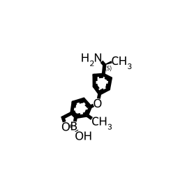 Cc1c(Oc2ccc([C@H](C)N)cc2)ccc2c1B(O)OC2